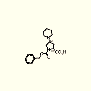 O=C(O)[C@@H]1C[C@H](N2CCCCC2)CN1C(=O)OCc1ccccc1